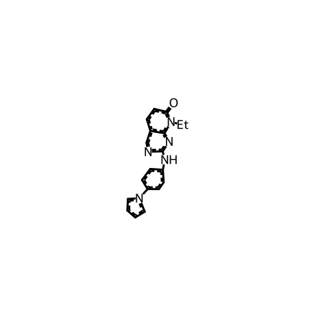 CCn1c(=O)ccc2cnc(Nc3ccc(-n4cccc4)cc3)nc21